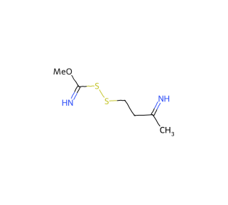 COC(=N)SSCCC(C)=N